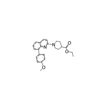 CCOC(=O)C1CCN(c2ccc3cccc(-c4ccc(OC)cc4)c3n2)CC1